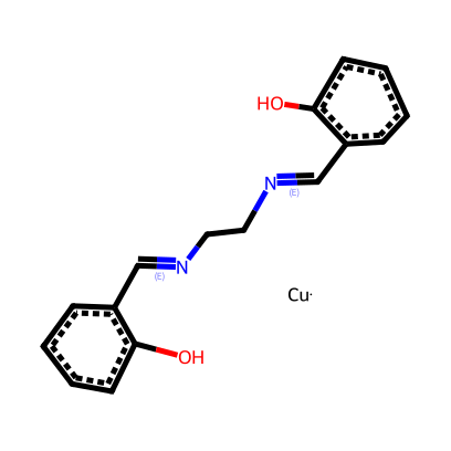 Oc1ccccc1/C=N/CC/N=C/c1ccccc1O.[Cu]